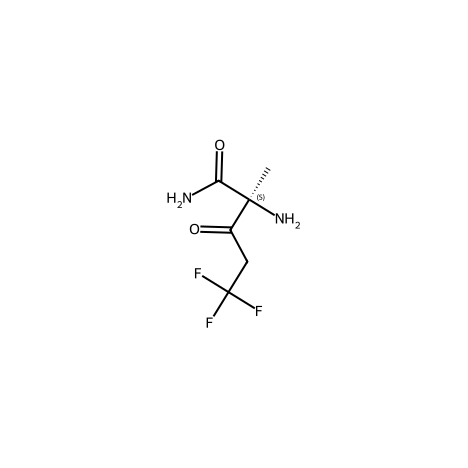 C[C@@](N)(C(N)=O)C(=O)CC(F)(F)F